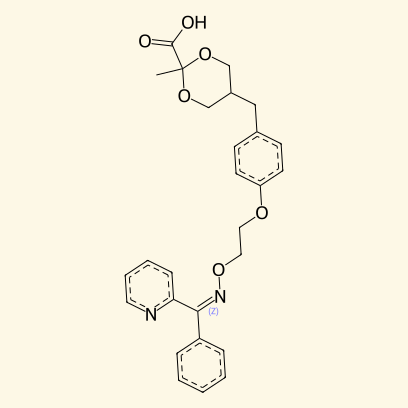 CC1(C(=O)O)OCC(Cc2ccc(OCCO/N=C(/c3ccccc3)c3ccccn3)cc2)CO1